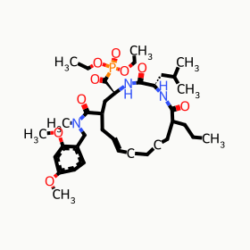 CCCC1CCCC/C=C/CC(C(=O)N(C)Cc2ccc(OC)cc2OC)C[C@@H](C(=O)P(=O)(OCC)OCC)NC(=O)[C@H](CC(C)C)NC1=O